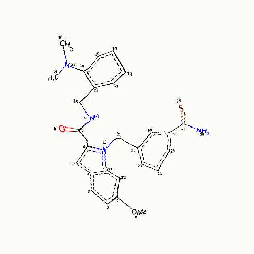 COc1ccc2cc(C(=O)NCc3ccccc3N(C)C)n(Cc3cccc(C(N)=S)c3)c2c1